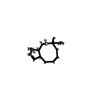 CC(C)C1(C)CCCCC2C=NNC2CC1